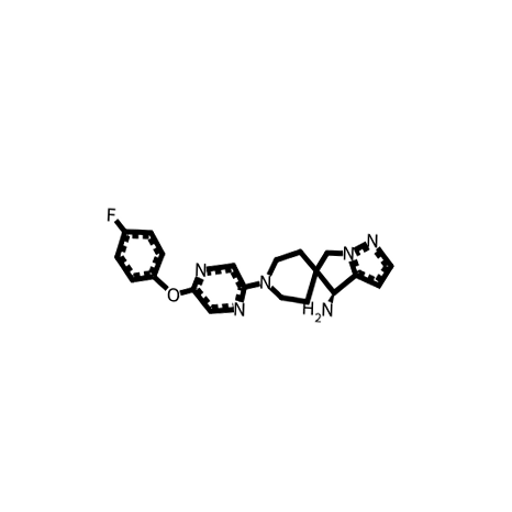 N[C@@H]1c2ccnn2CC12CCN(c1cnc(Oc3ccc(F)cc3)cn1)CC2